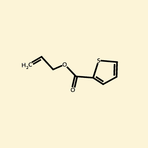 C=CCOC(=O)c1cccs1